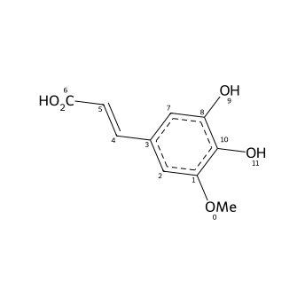 COc1cc(C=CC(=O)O)cc(O)c1O